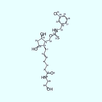 O=C(CCCC=CC[C@@H]1C(COC(=S)NCc2cccc(Cl)c2)[C@H](O)C[C@@H]1O)NCCO